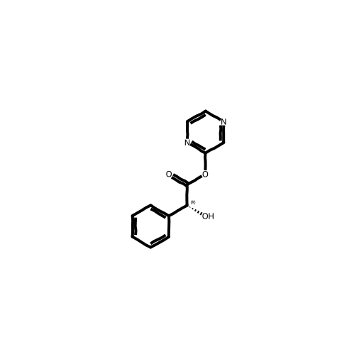 O=C(Oc1cnccn1)[C@H](O)c1ccccc1